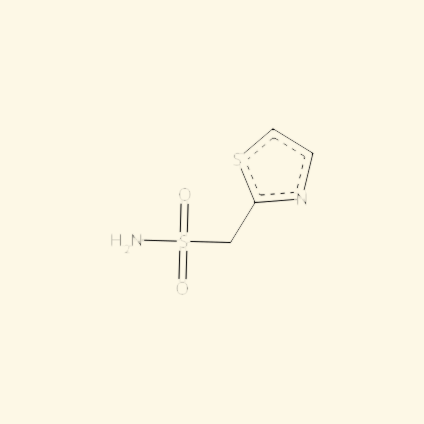 NS(=O)(=O)Cc1nccs1